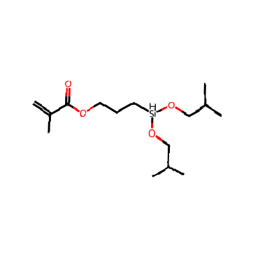 C=C(C)C(=O)OCCC[SiH](OCC(C)C)OCC(C)C